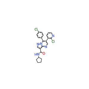 O=C(NC1CCCC1)c1cnn2c(-c3ccc(Cl)cc3)c(-c3cccnc3Cl)cnc12